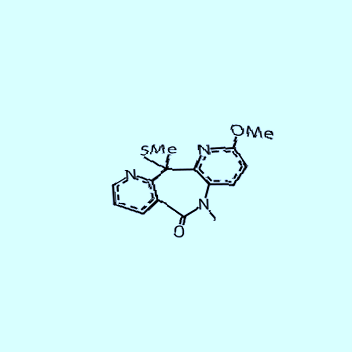 COc1ccc2c(n1)C(C)(SC)c1ncccc1C(=O)N2C